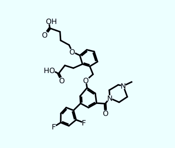 CN1CCN(C(=O)c2cc(OCc3cccc(OCCCC(=O)O)c3CCC(=O)O)cc(-c3ccc(F)cc3F)c2)CC1